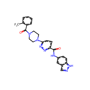 O=C(Nc1ccc2[nH]ncc2c1)c1ccc(N2CCN(C(=O)c3ccccc3C(F)(F)F)CC2)nn1